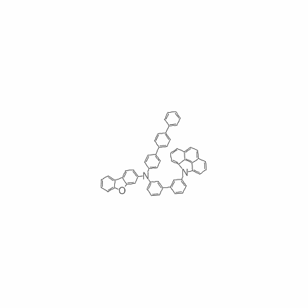 c1ccc(-c2ccc(-c3ccc(N(c4cccc(-c5cccc(-n6c7cccc8ccc9cccc6c9c87)c5)c4)c4ccc5c(c4)oc4ccccc45)cc3)cc2)cc1